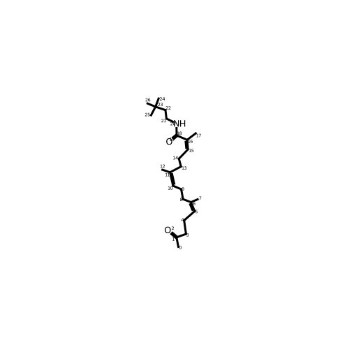 CC(=O)CCC=C(C)CCC=C(C)CCC=C(C)C(=O)NCCC(C)(C)C